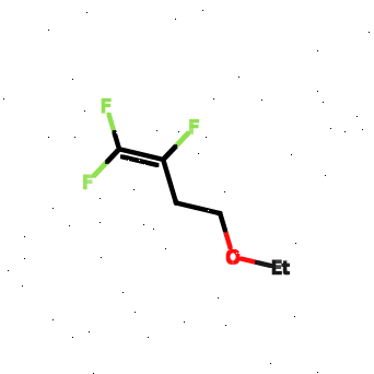 [CH2]COCCC(F)=C(F)F